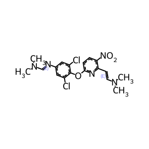 CN(C)/C=C/c1nc(Oc2c(Cl)cc(/N=C/N(C)C)cc2Cl)ccc1[N+](=O)[O-]